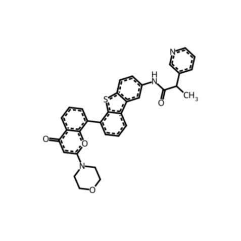 CC(C(=O)Nc1ccc2sc3c(-c4cccc5c(=O)cc(N6CCOCC6)oc45)cccc3c2c1)c1cccnc1